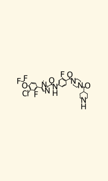 Cn1c(-c2ccc(OC(F)F)c(Cl)c2F)cnc1C(=O)Nc1ccc(C(=O)N2CCN(C(=O)C3CCNCC3)CC2)c(F)c1